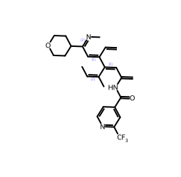 C=CC(=C\C(=N/C)C1CCOCC1)/C(=C/C(=C)NC(=O)c1ccnc(C(F)(F)F)c1)C(/C)=C\C